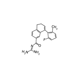 Cc1cccc(F)c1C1=CCCc2ccc(C(=O)N=C(N)N)cc21